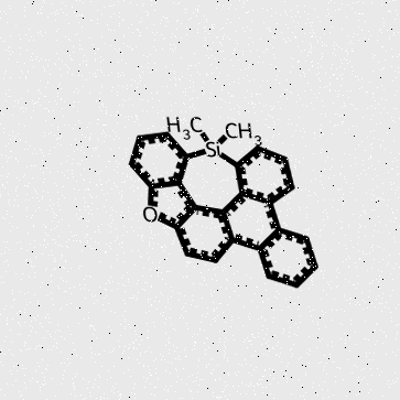 C[Si]1(C)c2cccc3oc4ccc5c6ccccc6c6cccc1c6c5c4c23